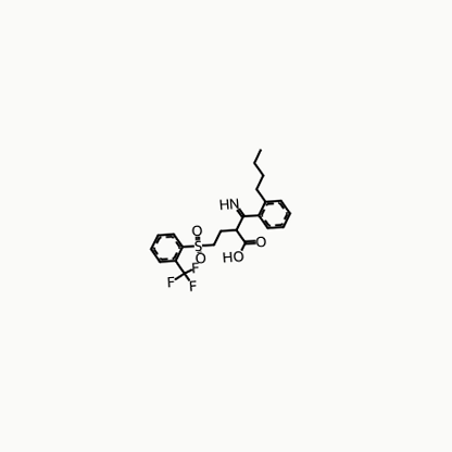 CCCCc1ccccc1C(=N)C(CCS(=O)(=O)c1ccccc1C(F)(F)F)C(=O)O